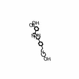 O=S(O)c1cccc(-c2cnn3cc(-c4ccc(CCN5CCC(O)CC5)cc4)cnc23)c1